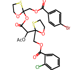 CC(=O)OC(C(=O)OC1(COC(=O)c2ccc(Br)cc2)OCCS1)C1(COC(=O)c2ccccc2Cl)OCCS1